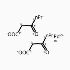 CCCC(=O)CC(=O)[O-].CCCC(=O)CC(=O)[O-].[Pd+2]